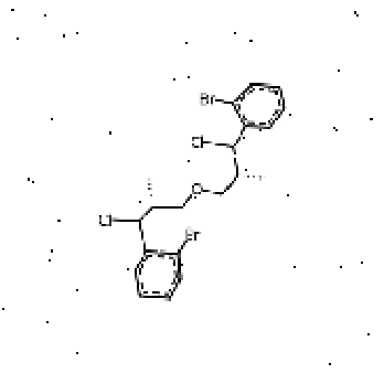 C[C@H](COC[C@@H](C)C(Cl)c1ccccc1Br)C(Cl)c1ccccc1Br